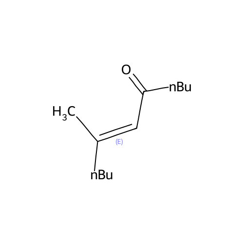 CCCCC(=O)/C=C(\C)CCCC